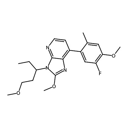 CCC(CCOC)n1c(OC)nc2c(-c3cc(F)c(OC)cc3C)ccnc21